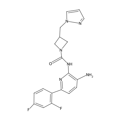 Nc1ccc(-c2ccc(F)cc2F)nc1NC(=O)N1CC(Cn2cccn2)C1